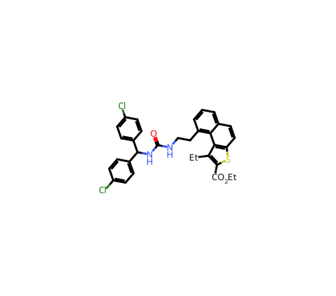 CCOC(=O)c1sc2ccc3cccc(CCNC(=O)NC(c4ccc(Cl)cc4)c4ccc(Cl)cc4)c3c2c1CC